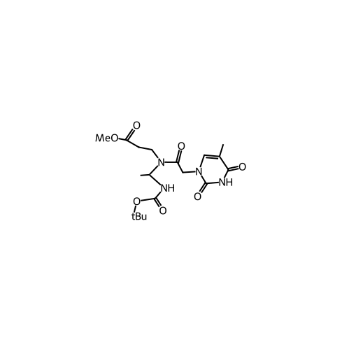 COC(=O)CCN(C(=O)Cn1cc(C)c(=O)[nH]c1=O)C(C)NC(=O)OC(C)(C)C